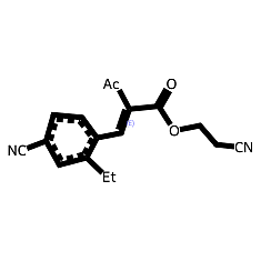 CCc1cc(C#N)ccc1/C=C(\C(C)=O)C(=O)OCCC#N